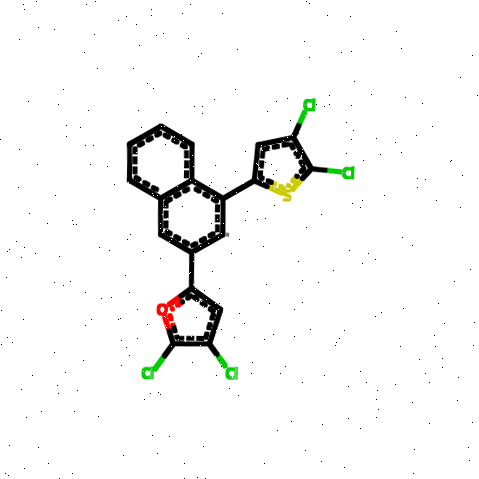 Clc1cc(-c2[c]c(-c3cc(Cl)c(Cl)s3)c3ccccc3c2)oc1Cl